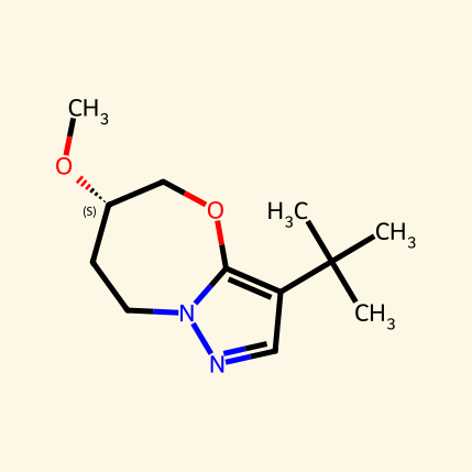 CO[C@H]1CCn2ncc(C(C)(C)C)c2OC1